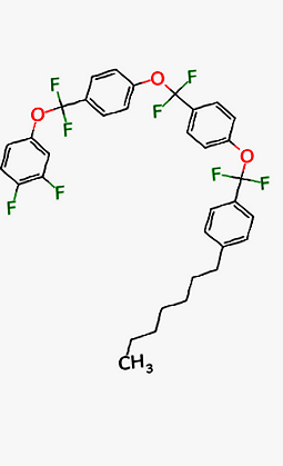 CCCCCCCc1ccc(C(F)(F)Oc2ccc(C(F)(F)Oc3ccc(C(F)(F)Oc4ccc(F)c(F)c4)cc3)cc2)cc1